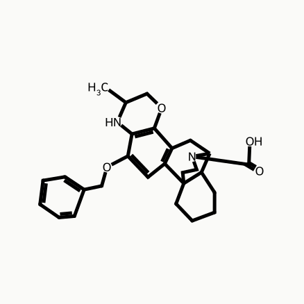 CC1COc2c3c(cc(OCc4ccccc4)c2N1)C12CCCCC1C(C3)N(C(=O)O)CC2